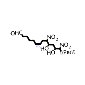 CCCCCC(C(O)CC(O)C(C/C=C\CCCC[C]=O)[N+](=O)[O-])[N+](=O)[O-]